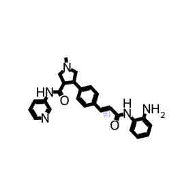 CN1CC(C(=O)Nc2cccnc2)C(c2ccc(/C=C/C(=O)Nc3ccccc3N)cc2)C1